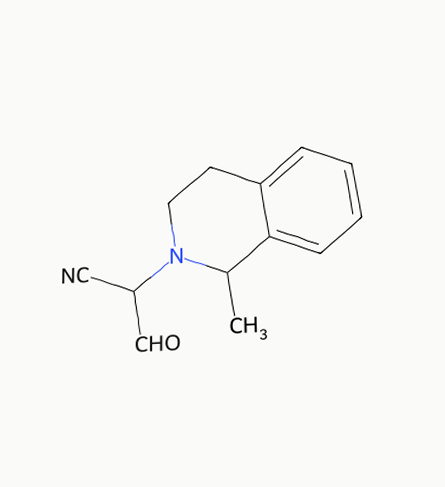 CC1c2ccccc2CCN1C(C#N)C=O